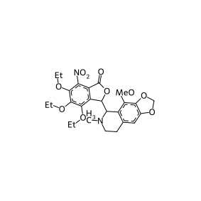 CCOc1c(OCC)c2c(c([N+](=O)[O-])c1OCC)C(=O)OC2C1c2c(cc3c(c2OC)OCO3)CCN1C